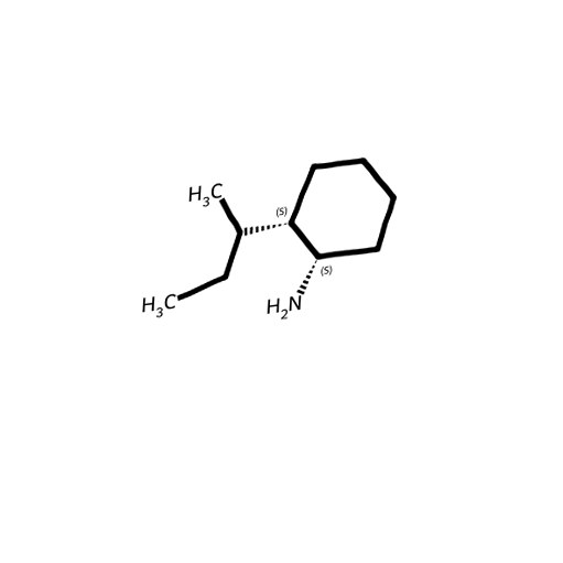 CCC(C)[C@@H]1CCCC[C@@H]1N